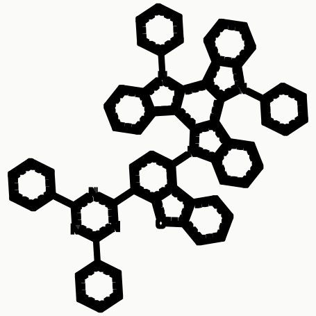 c1ccc(-c2nc(-c3ccccc3)nc(-c3ccc(-n4c5ccccc5c5c6c(c7ccccc7n6-c6ccccc6)c6c(c7ccccc7n6-c6ccccc6)c54)c4c3oc3ccccc34)n2)cc1